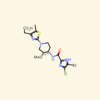 CCc1[nH]c(C(=O)N[C@@H]2CCN(c3nc(CC(=O)O)c(C)s3)C[C@@H]2OC)nc1Cl